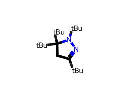 CC(C)(C)C1=NN(C(C)(C)C)C(C(C)(C)C)(C(C)(C)C)C1